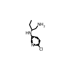 CCC(CN)Nc1ccc(Cl)nc1